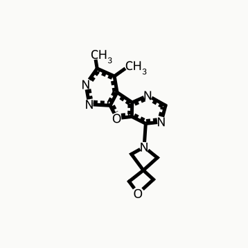 Cc1nnc2oc3c(N4CC5(COC5)C4)ncnc3c2c1C